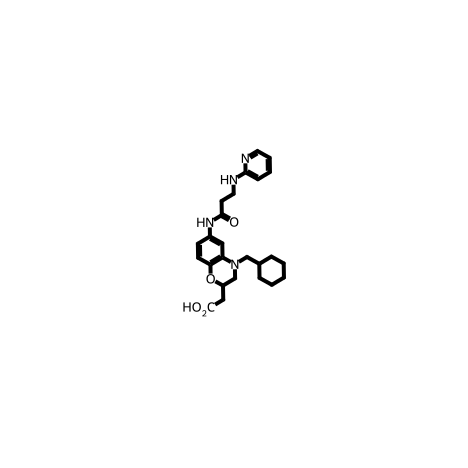 O=C(O)CC1CN(CC2CCCCC2)c2cc(NC(=O)CCNc3ccccn3)ccc2O1